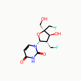 O=c1ccn([C@@H]2O[C@@](CO)(CF)[C@@H](O)[C@@H]2CF)c(=O)[nH]1